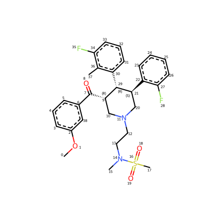 COc1cccc(C(=O)[C@H]2CN(CCN(C)S(C)(=O)=O)C[C@H](c3ccc[c]c3F)[C@H]2c2cccc(F)c2C)c1